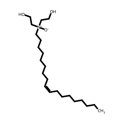 CCCCCCCC/C=C\CCCCCCCC[N+]([O-])(CCO)CCO